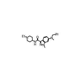 CCN1CCC(NC(=O)c2nn(C)c3cc(N(C)CC(C)C)ccc23)CC1